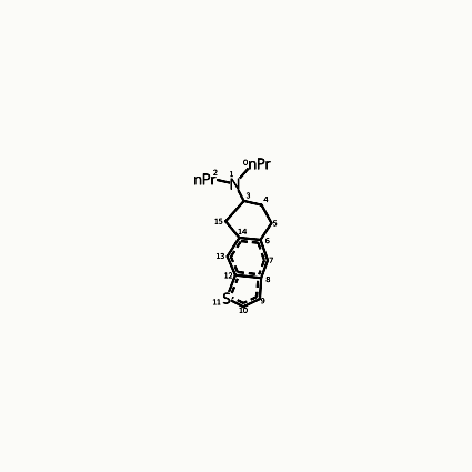 CCCN(CCC)C1CCc2cc3ccsc3cc2C1